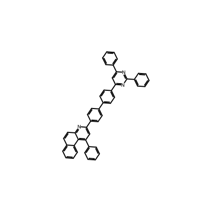 c1ccc(-c2cc(-c3ccc(-c4ccc(-c5cc(-c6ccccc6)c6c(ccc7ccccc76)n5)cc4)cc3)nc(-c3ccccc3)n2)cc1